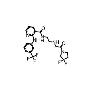 O=C(NCCNCC(=O)N1CCC(F)(F)C1)c1cccnc1Nc1cccc(C(F)(F)F)c1